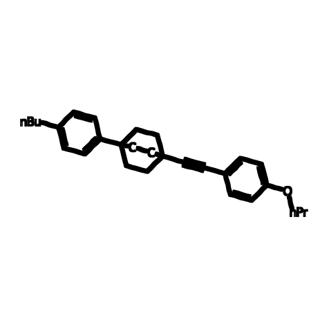 CCCCc1ccc(C23CCC(C#Cc4ccc(OCCC)cc4)(CC2)CC3)cc1